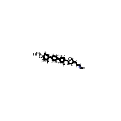 C/C=C/CCC1CCC(c2ccc(-c3ccc(-c4ccc(OCCC)c(F)c4F)cc3)cc2F)OC1